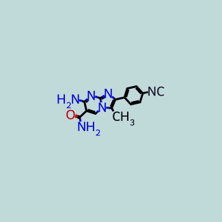 [C-]#[N+]c1ccc(-c2nc3nc(N)c(C(N)=O)cn3c2C)cc1